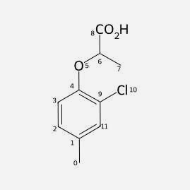 Cc1ccc(OC(C)C(=O)O)c(Cl)c1